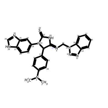 CN(C)c1ccc(C2/C(=N/Cn3nnc4ccccc43)NC(=S)N2c2ccc3[nH]cnc3c2)cc1